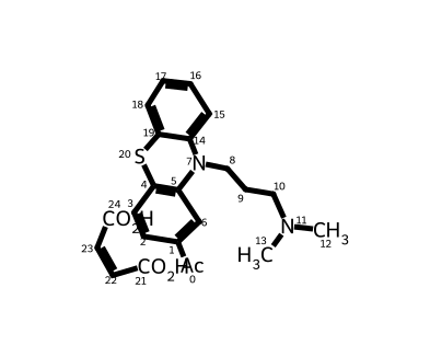 CC(=O)c1ccc2c(c1)N(CCCN(C)C)c1ccccc1S2.O=C(O)/C=C\C(=O)O